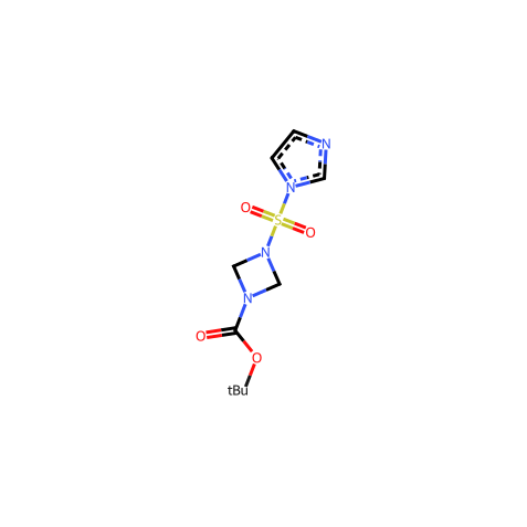 CC(C)(C)OC(=O)N1CN(S(=O)(=O)n2ccnc2)C1